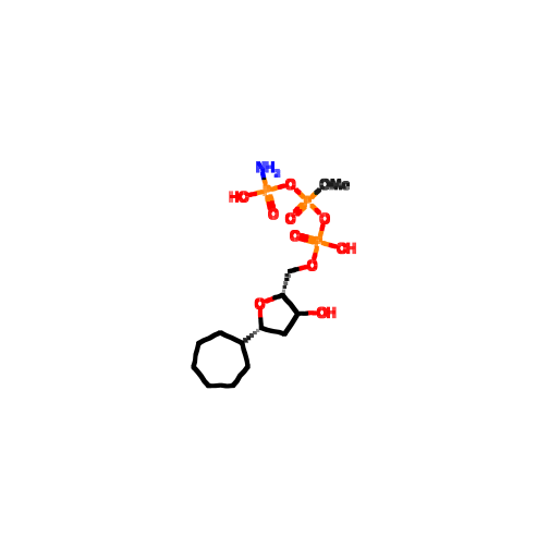 COP(=O)(OP(N)(=O)O)OP(=O)(O)OC[C@H]1O[C@@H](C2CCCCCC2)CC1O